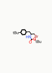 CC(C)(C)OC(=O)NC(CBr)Cc1ccc(C(C)(C)C)cc1